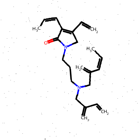 C=CC(=C)CN(CCCN1CC(C=C)=C(/C=C\C)C1=O)CC(=C)/C=C\C